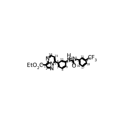 CCOC(=O)c1cnn2c(-c3cccc(NC(=O)Nc4cccc(C(F)(F)F)c4)c3)ccnc12